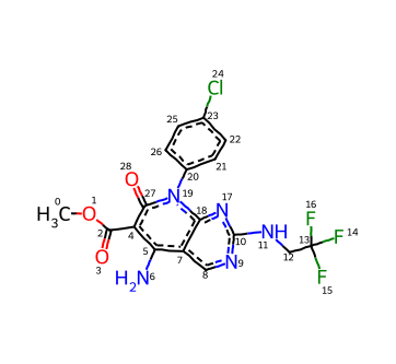 COC(=O)c1c(N)c2cnc(NCC(F)(F)F)nc2n(-c2ccc(Cl)cc2)c1=O